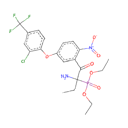 CCOP(=O)(OCC)C(N)(CC)C(=O)c1cc(Oc2ccc(C(F)(F)F)cc2Cl)ccc1[N+](=O)[O-]